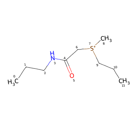 CCCNC(=O)C[S+](C)CCC